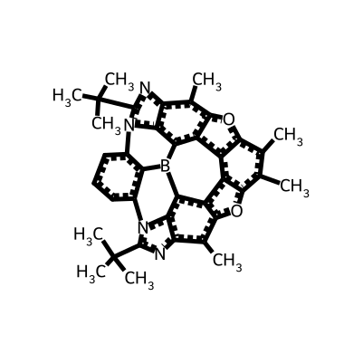 Cc1c2nc(C(C)(C)C)n3c2c2c4c1oc1c(C)c(C)c5oc6c(C)c7nc(C(C)(C)C)n8c7c(c6c5c14)B2c1c-3cccc1-8